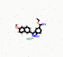 CCOC(=N)c1ccc2[nH]nc(-c3ccc4cc(OC)ccc4c3)c2c1.Cl